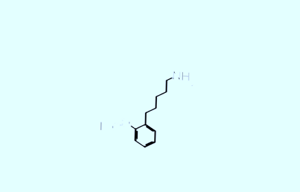 NCCCCCc1ccccc1OC(F)(F)F